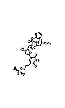 COC(=O)C[C@H](C)NP(=O)(OCC1OC(n2cc(/C=C/COP(=O)(N3CC3)N3CC3)c(=O)[nH]c2=O)C[C@@H]1O)Oc1ccccc1